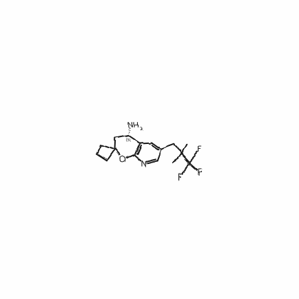 CC(C)(Cc1cnc2c(c1)[C@@H](N)CC1(CCC1)O2)C(F)(F)F